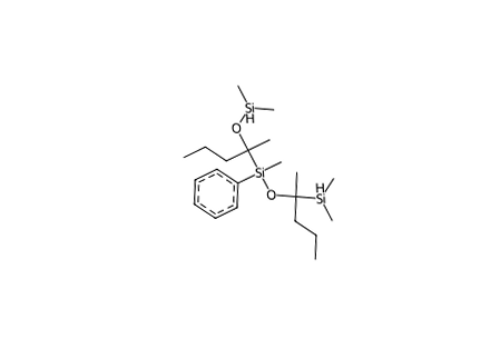 CCCC(C)(O[Si](C)(c1ccccc1)C(C)(CCC)O[SiH](C)C)[SiH](C)C